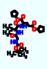 CC(C)[C@H](NC(=O)CNC(=O)OC(C)(C)C)C(=O)N[C@H](CCC(=O)OC1CCCC1)C(=O)OC1CCCC1